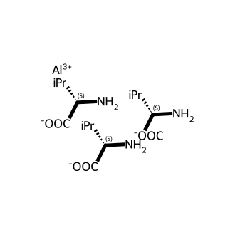 CC(C)[C@H](N)C(=O)[O-].CC(C)[C@H](N)C(=O)[O-].CC(C)[C@H](N)C(=O)[O-].[Al+3]